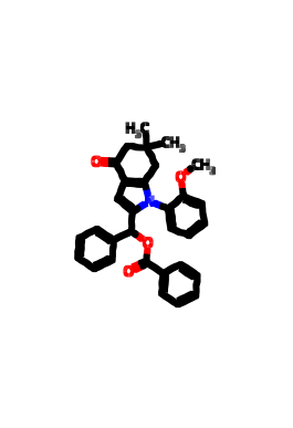 COc1ccccc1-n1c(C(OC(=O)c2ccccc2)c2ccccc2)cc2c1CC(C)(C)CC2=O